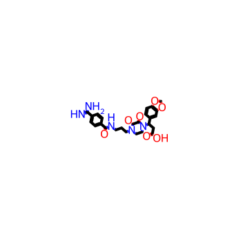 N=C(N)c1ccc(C(=O)NCCCN2CCN(C(CC(=O)O)c3ccc4c(c3)OCO4)C(=O)C2=O)cc1